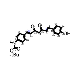 CN(C(=O)OC(C)(C)C)c1ccc(/C=C/C(=O)CC(=O)/C=C/c2ccc(O)cc2)cc1